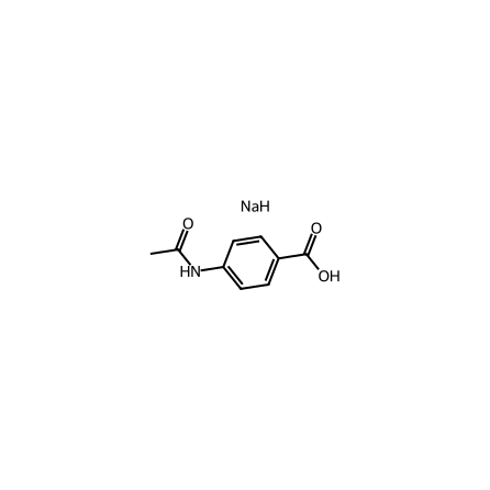 CC(=O)Nc1ccc(C(=O)O)cc1.[NaH]